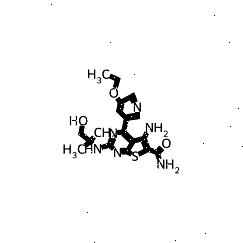 CCOc1cncc(-c2nc(NC(C)(C)CO)nc3sc(C(N)=O)c(N)c23)c1